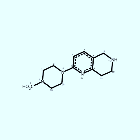 O=C(O)N1CCN(c2ccc3c(n2)CCNC3)CC1